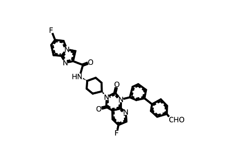 O=Cc1ccc(-c2cccc(-n3c(=O)n([C@H]4CC[C@@H](NC(=O)c5cn6cc(F)ccc6n5)CC4)c(=O)c4cc(F)cnc43)c2)cc1